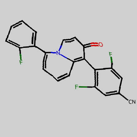 N#Cc1cc(F)c(-c2c(=O)ccn3c(-c4ccccc4F)cccc23)c(F)c1